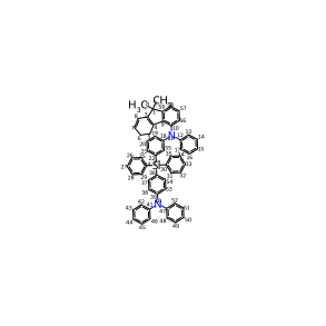 CC1(C)C2=C(CCC=C2)c2c(N(c3ccccc3)c3cccc([Si](c4ccccc4)(c4ccccc4)c4ccc(N(c5ccccc5)c5ccccc5)cc4)c3)cccc21